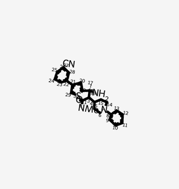 CNC(=O)C(C1CCN(c2ccccc2)CC1)[C@](C)(N)c1cc(-c2cccc(C#N)c2)cs1